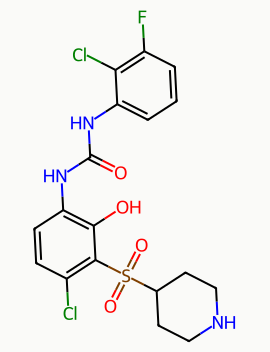 O=C(Nc1ccc(Cl)c(S(=O)(=O)C2CCNCC2)c1O)Nc1cccc(F)c1Cl